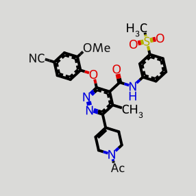 COc1cc(C#N)ccc1Oc1nnc(C2=CCN(C(C)=O)CC2)c(C)c1C(=O)Nc1cccc(S(C)(=O)=O)c1